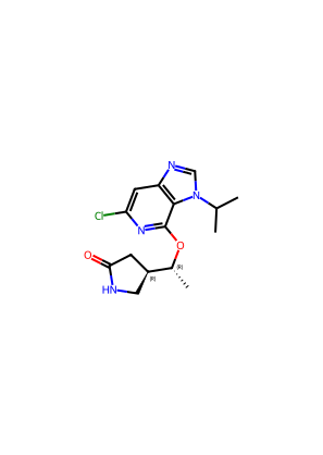 CC(C)n1cnc2cc(Cl)nc(O[C@H](C)[C@H]3CNC(=O)C3)c21